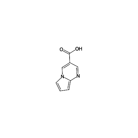 O=C(O)c1cnc2cccn2c1